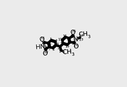 CCC(c1ccc2c(c1)C(=O)NC2=O)c1ccc2c(c1)C(=O)N(CC)C2=O